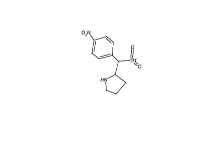 O=[N+]([O-])c1ccc(C(C2CCCN2)[SH](=O)=O)cc1